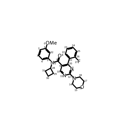 COc1cccc(N(C(=O)c2cnc(N3CCOCC3)nc2-c2ccccc2F)C2CCC2)c1